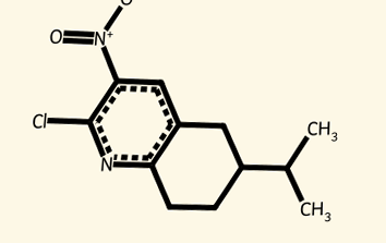 CC(C)C1CCc2nc(Cl)c([N+](=O)[O-])cc2C1